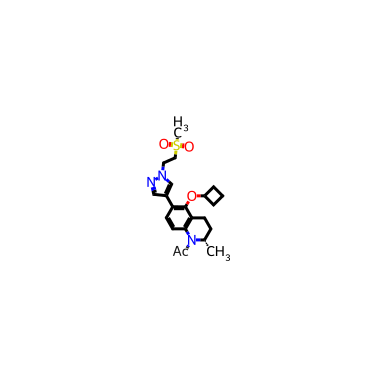 CC(=O)N1c2ccc(-c3cnn(CCS(C)(=O)=O)c3)c(OC3CCC3)c2CC[C@@H]1C